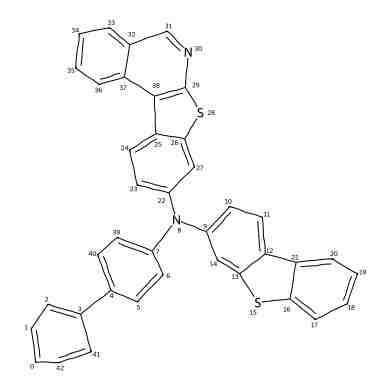 c1ccc(-c2ccc(N(c3ccc4c(c3)sc3ccccc34)c3ccc4c(c3)sc3ncc5ccccc5c34)cc2)cc1